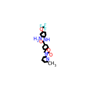 Cc1cccc(N2CC3(CCC(C(=O)Nc4ccc(OC(F)(F)F)cc4N)CC3)OC2=O)n1